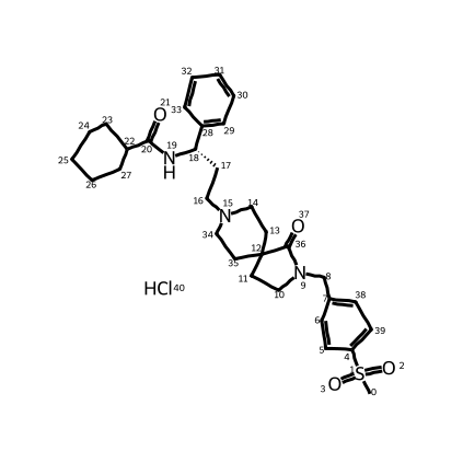 CS(=O)(=O)c1ccc(CN2CCC3(CCN(CC[C@H](NC(=O)C4CCCCC4)c4ccccc4)CC3)C2=O)cc1.Cl